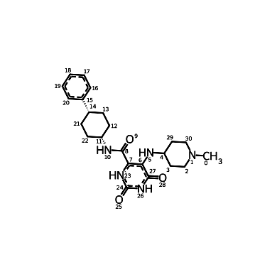 CN1CCC(Nc2c(C(=O)N[C@H]3CC[C@@H](c4ccccc4)CC3)[nH]c(=O)[nH]c2=O)CC1